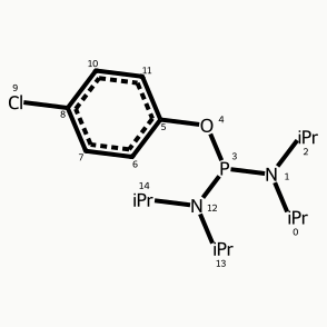 CC(C)N(C(C)C)P(Oc1ccc(Cl)cc1)N(C(C)C)C(C)C